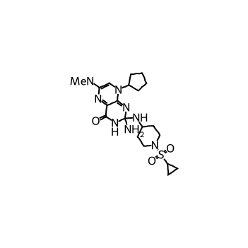 CNC1=CN(C2CCCC2)C2=NC(N)(NC3CCN(S(=O)(=O)C4CC4)CC3)NC(=O)C2=N1